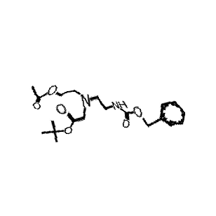 CC(=O)OCCN(CCNC(=O)OCc1ccccc1)CC(=O)OC(C)(C)C